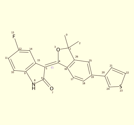 CC1(C)O/C(=C2/C(=O)Nc3ccc(F)cc32)c2ccc(-c3ccsc3)cc21